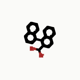 BrC(Br)c1ccc2ccccc2c1-c1cccc2ccccc12